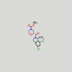 C[C@H]1c2c(Cl)cc(Cl)cc2CCN1C(=O)[C@H]1CN(C(=O)OC(C)(C)C)CCO1